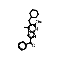 COc1nc2nc(C(=O)c3ccccc3)cn2c(C)c1CC1CCCCC1